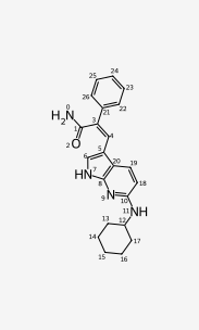 NC(=O)C(=Cc1c[nH]c2nc(NC3CCCCC3)ccc12)c1ccccc1